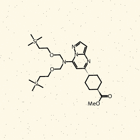 COC(=O)[C@H]1CC[C@H](c2cc(N(COCC[Si](C)(C)C)COCC[Si](C)(C)C)n3nccc3n2)CC1